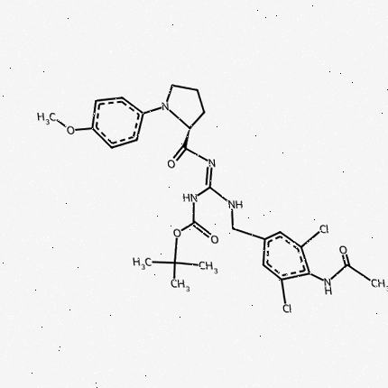 COc1ccc(N2CCC[C@H]2C(=O)/N=C(/NCc2cc(Cl)c(NC(C)=O)c(Cl)c2)NC(=O)OC(C)(C)C)cc1